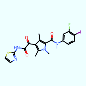 Cc1c(C(=O)C(=O)Nc2nccs2)c(C)n(C)c1C(=O)Nc1ccc(I)c(F)c1